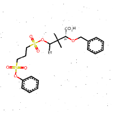 CCC(OS(=O)(=O)CCCS(=O)(=O)Oc1ccccc1)C(C)(C)[C@@H](OCc1ccccc1)C(=O)O